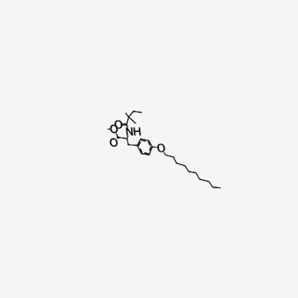 CCCCCCCCCCOc1ccc(CC(NC(=O)C(C)(C)CC)C(=O)OC)cc1